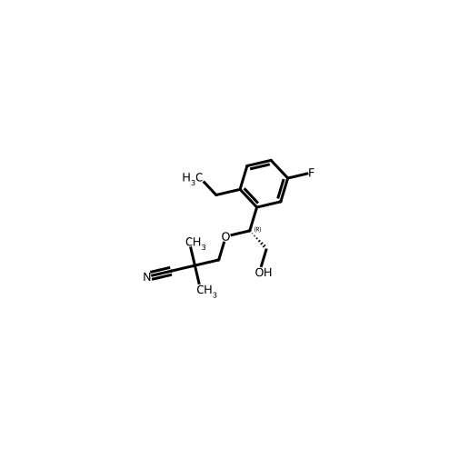 CCc1ccc(F)cc1[C@H](CO)OCC(C)(C)C#N